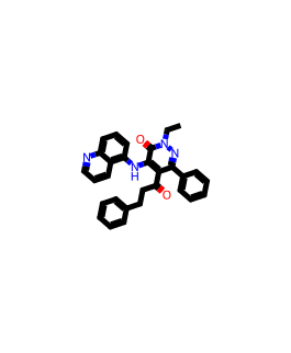 CCn1nc(-c2ccccc2)c(C(=O)CCc2ccccc2)c(Nc2cccc3ncccc23)c1=O